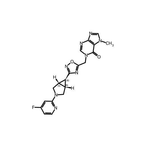 Cn1cnc2ncn(Cc3nc([C@H]4[C@@H]5CN(c6cc(F)ccn6)C[C@@H]54)no3)c(=O)c21